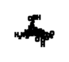 CC(=O)OCC1=C(C(=O)O)N2C(=O)C(NC(=O)/C(=N\OCCC(=O)O)c3csc(N)n3)[C@@H]2SC1